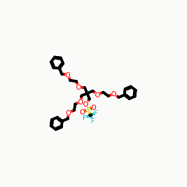 O=S(=O)(OCC(COCCOCc1ccccc1)(COCCOCc1ccccc1)COCCOCc1ccccc1)C(F)(F)F